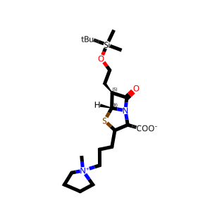 CC(C)(C)[Si](C)(C)OCC[C@H]1C(=O)N2C(C(=O)[O-])C(CCC[N+]3(C)CCCC3)S[C@H]12